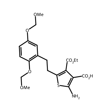 CCOC(=O)c1c(CCc2cc(OCOC)ccc2OCOC)sc(N)c1C(=O)O